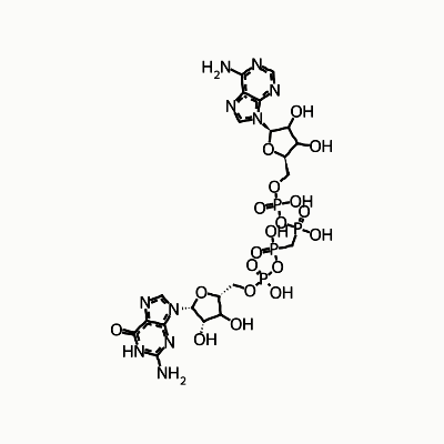 Nc1nc2c(ncn2[C@@H]2O[C@H](COP(=O)(O)OP(=O)(O)CP(=O)(O)OP(=O)(O)OC[C@H]3O[C@@H](n4cnc5c(N)ncnc54)C(O)C3O)C(O)[C@@H]2O)c(=O)[nH]1